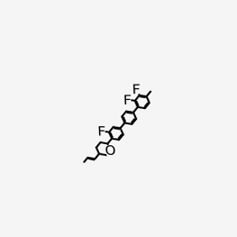 C/C=C/C1CCC(c2ccc(-c3ccc(-c4ccc(C)c(F)c4F)cc3)cc2F)OC1